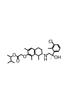 Cc1cc2c(c(C)c1OCC(=O)OC(C)C(C)C)C(C)[C@@H](NC[C@](C)(O)c1cccc(Cl)c1C)CC2